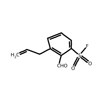 C=CCc1cccc(S(=O)(=O)F)c1C=O